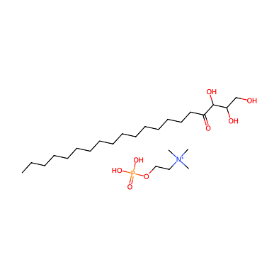 CCCCCCCCCCCCCCCCC(=O)C(O)C(O)CO.C[N+](C)(C)CCOP(=O)(O)O